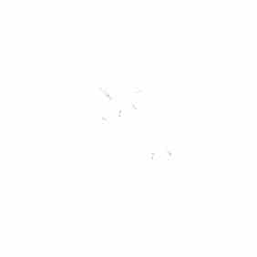 C=CC1=C(C#N)C(C=C)=C(F)C(OCC2=CCCC=C2)C1